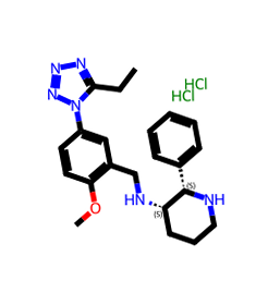 CCc1nnnn1-c1ccc(OC)c(CN[C@H]2CCCN[C@H]2c2ccccc2)c1.Cl.Cl